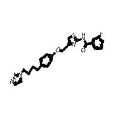 O=C(Nc1nc(COc2ccc(CCCCn3ccnn3)cc2)cs1)c1cccc(F)c1